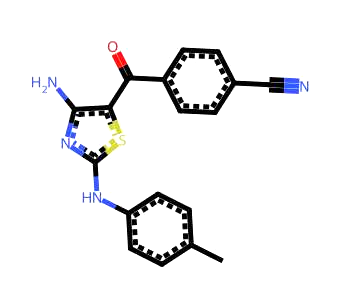 Cc1ccc(Nc2nc(N)c(C(=O)c3ccc(C#N)cc3)s2)cc1